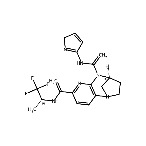 C=C(N[C@H](C)C(F)(F)F)c1ccc2c(n1)N(C(=C)NC1=NCC=C1)[C@H]1CCN2C1